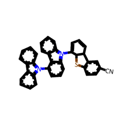 N#Cc1ccc2c(c1)C1C=CC=C(n3c4ccccc4c4c(-n5c6ccccc6c6ccccc65)cccc43)C1S2